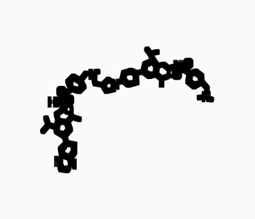 CC(C)c1cc(-c2ccc(N3CCC(CN(C)Cc4ccc(S(=O)(=O)NC(=O)Cc5c(C(C)C)cc(-c6ccc7nccnc7c6)cc5C(C)C)cc4)C3)cc2)cc(C(C)C)c1CC(=O)NS(=O)(=O)c1ccc(CN(C)C)cc1